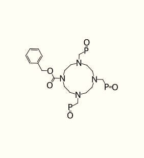 O=PCN1CCN(CP=O)CCN(C(=O)OCc2ccccc2)CCN(CP=O)CC1